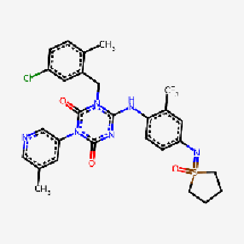 Cc1cncc(-n2c(=O)nc(Nc3ccc(N=S4(=O)CCCC4)cc3C(F)(F)F)n(Cc3cc(Cl)ccc3C)c2=O)c1